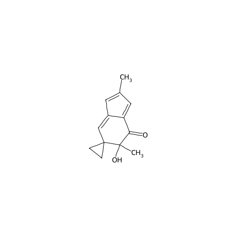 CC1=CC2=CC3(CC3)C(C)(O)C(=O)C2=C1